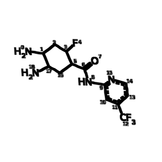 NC1CC(F)C(C(=O)Nc2cc(C(F)(F)F)ccn2)CC1N